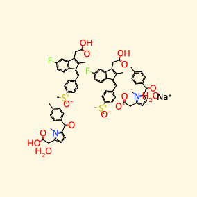 CC1=C(CC(=O)O)c2cc(F)ccc2/C1=C\c1ccc([S+](C)[O-])cc1.CC1=C(CC(=O)O)c2cc(F)ccc2/C1=C\c1ccc([S+](C)[O-])cc1.Cc1ccc(C(=O)c2ccc(CC(=O)O)n2C)cc1.Cc1ccc(C(=O)c2ccc(CC(=O)[O-])n2C)cc1.O.O.[Na+]